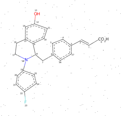 O=C(O)C=Cc1ccc(CC2c3ccc(O)cc3CCN2c2ccc(F)cc2)cc1